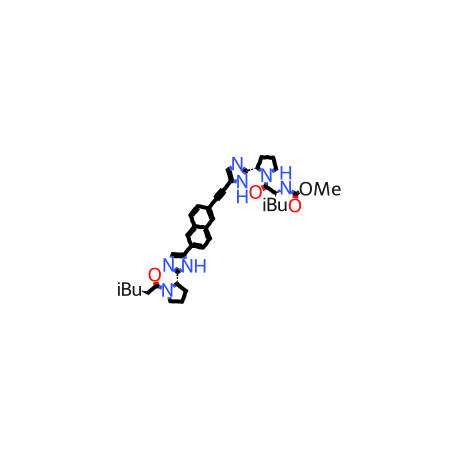 CC[C@H](C)CC(=O)N1CCC[C@H]1c1ncc(-c2ccc3cc(C#Cc4cnc([C@@H]5CCCN5C(=O)[C@@H](NC(=O)OC)[C@@H](C)CC)[nH]4)ccc3c2)[nH]1